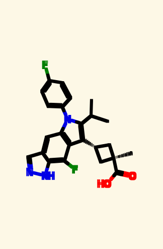 CC(C)c1c([C@H]2C[C@](C)(C(=O)O)C2)c2c(F)c3[nH]ncc3cc2n1-c1ccc(F)cc1